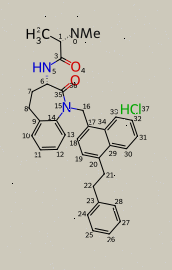 CN[C@@H](C)C(=O)N[C@H]1CCc2ccccc2N(Cc2ccc(CCc3ccccc3)c3ccccc23)C1=O.Cl